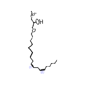 CCCCC/C=C\C/C=C\CCCCCCCCOCC(O)C[As](C)C